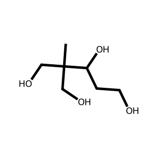 CC(CO)(CO)C(O)CCO